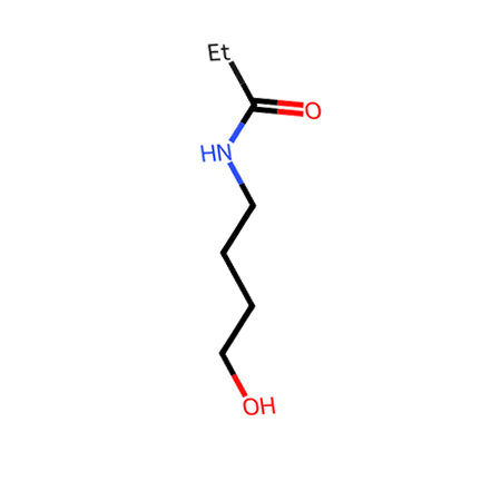 [CH2]CC(=O)NCCCCO